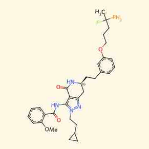 COc1ccccc1C(=O)Nc1c2c(nn1CCC1CC1)C[C@H](CCc1cccc(OCCCC(C)(F)P)c1)NC2=O